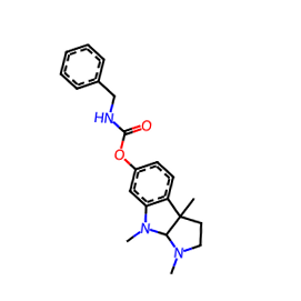 CN1CCC2(C)c3ccc(OC(=O)NCc4ccccc4)cc3N(C)C12